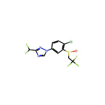 [O-][S+](CC(F)(F)F)c1cc(-n2cnc(C(F)F)n2)ccc1Cl